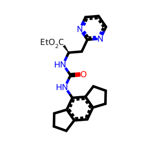 CCOC(=O)[C@@H](Cc1ncccn1)NC(=O)Nc1c2c(cc3c1CCC3)CCC2